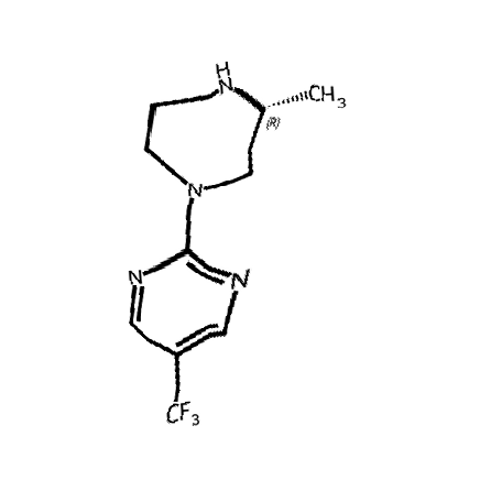 C[C@@H]1CN(c2ncc(C(F)(F)F)cn2)CCN1